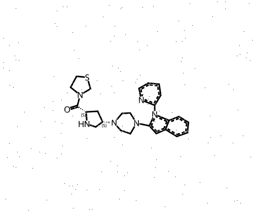 O=C([C@@H]1C[C@H](N2CCN(c3cc4ccccc4n3-c3ccccn3)CC2)CN1)N1CCSC1